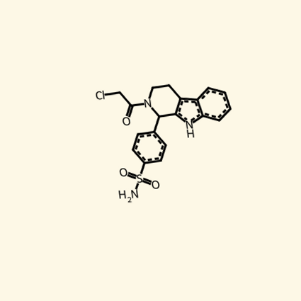 NS(=O)(=O)c1ccc(C2c3[nH]c4ccccc4c3CCN2C(=O)CCl)cc1